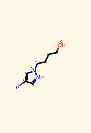 OCCCCn1cc(I)cn1